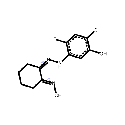 O/N=C1\CCCC\C1=N\Nc1cc(O)c(Cl)cc1F